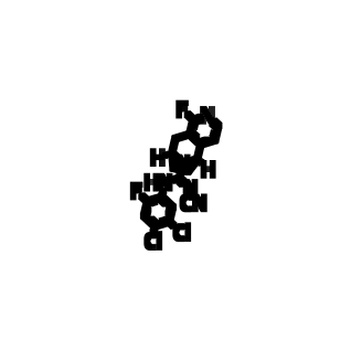 N#CN=C(Nc1cc(Cl)c(Cl)cc1F)N1[C@@H]2CC[C@H]1c1ccnc(F)c1C2